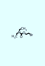 CCN(CC)C(=O)OCCBr